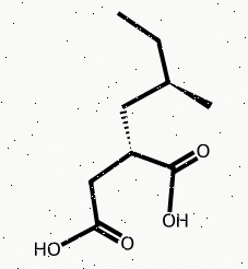 CC[C@@H](C)C[C@@H](CC(=O)O)C(=O)O